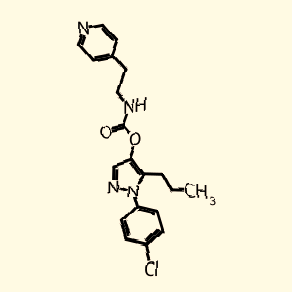 CCCc1c(OC(=O)NCCc2ccncc2)cnn1-c1ccc(Cl)cc1